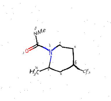 CNC(=O)N1CCC(C(F)(F)F)CC1C